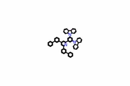 C1=CC2C3C=CC=CC3N(c3cc(-c4cc(-c5cccc(-c6ccccc6)c5)cc(-c5cccc(-c6ccccc6)c5)n4)cc(N4C5C=CC=CC5C5C=CC=CC54)c3)C2C=C1